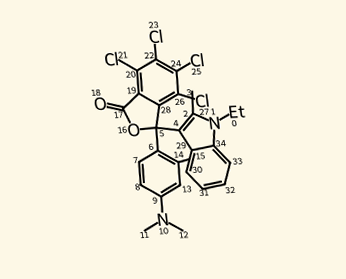 CCn1c(C)c(C2(c3ccc(N(C)C)cc3C)OC(=O)c3c(Cl)c(Cl)c(Cl)c(Cl)c32)c2ccccc21